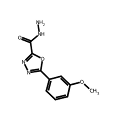 COc1cccc(-c2nnc(C(=O)NN)o2)c1